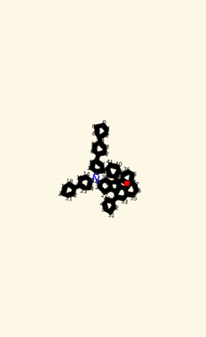 c1ccc(-c2ccc(-c3ccc(N(c4ccc(-c5ccccc5)cc4)c4ccc5c(c4)C(c4ccccc4)(c4ccccc4)c4c-5c(-c5ccccc5)cc5ccccc45)cc3)cc2)cc1